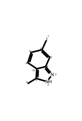 Cc1[nH]nc2cc(I)ccc12